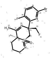 C[C@@]12CCCN=[S@]1(=O)C[C@@](CF)(c1nc(Br)ccc1F)N=C2N